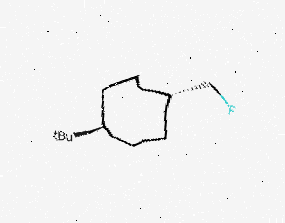 CC(C)(C)[C@H]1CC[C@H](CF)CC1